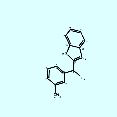 Cc1cccc(C(F)c2nc3ccccc3s2)c1